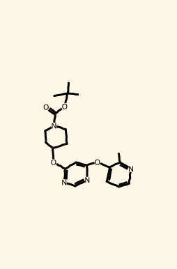 Cc1ncccc1Oc1cc(OC2CCN(C(=O)OC(C)(C)C)CC2)ncn1